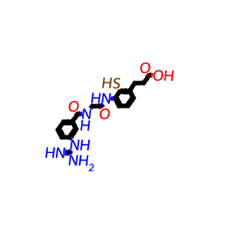 N=C(N)Nc1cccc(C(=O)NCC(=O)Nc2cccc(CCC(=O)O)c2S)c1